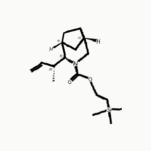 C=C[C@@H](C)[C@H]1[C@@H]2CC[C@@H](C2)CN1C(=O)OCC[Si](C)(C)C